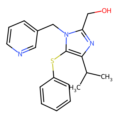 CC(C)c1nc(CO)n(Cc2cccnc2)c1Sc1ccccc1